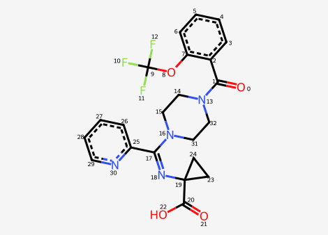 O=C(c1ccccc1OC(F)(F)F)N1CCN(C(=NC2(C(=O)O)CC2)c2ccccn2)CC1